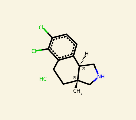 C[C@@]12CCc3c(ccc(Cl)c3Cl)[C@H]1CNC2.Cl